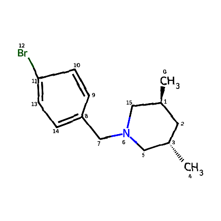 C[C@H]1C[C@H](C)CN(Cc2ccc(Br)cc2)C1